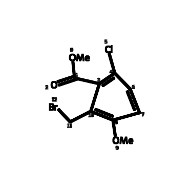 COC(=O)c1c(Cl)ccc(OC)c1CBr